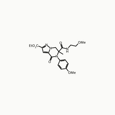 CCOC(=O)c1cc2n(n1)CC(C)(C(=O)NCCOC)N(c1ccc(OC)cc1)C2=O